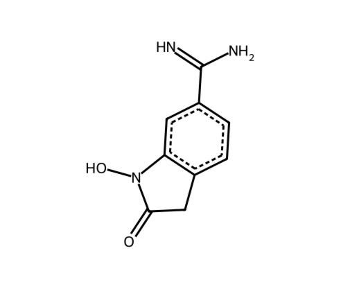 N=C(N)c1ccc2c(c1)N(O)C(=O)C2